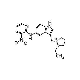 CCN1CCC[C@@H]1Cc1c[nH]c2ccc(Nc3ncccc3[N+](=O)[O-])cc12